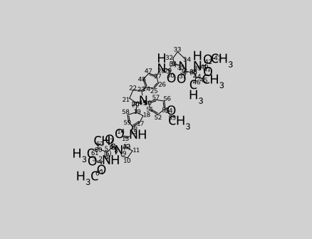 COC(=O)N[C@H](C(=O)N1CCC[C@H]1C(=O)NC1=CCC([C@H]2CCC(c3ccc(NC(=O)[C@@H]4CCCN4C(=O)[C@@H](NC(=O)OC)C(C)C)cc3)N2c2ccc(OC)cc2)C=C1)C(C)C